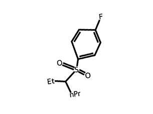 CCCC(CC)S(=O)(=O)c1ccc(F)cc1